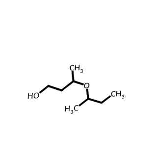 CCC(C)OC(C)CCO